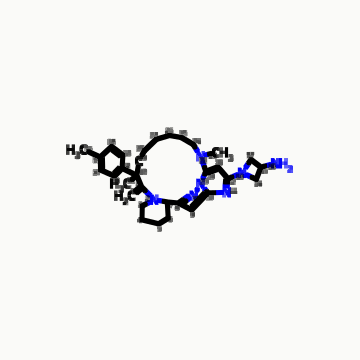 C=C1N2CCCCC2c2cc3nc(N4CC(N)C4)cc(n3n2)N(C)CCCCCCC1(C)c1ccc(C)cc1